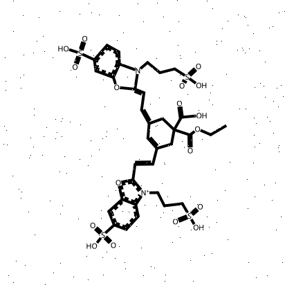 CCOC(=O)C1(C(=O)O)CC(/C=C/c2oc3cc(S(=O)(=O)O)ccc3[n+]2CCCS(=O)(=O)O)=CC(=C/C=C2\Oc3cc(S(=O)(=O)O)ccc3N2CCCS(=O)(=O)O)/C1